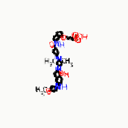 COc1ccc(Nc2ccc3c(O)c(N=Nc4cc(C)c(N=Nc5ccc(C(=O)Nc6ccc7cccc(OCCCCS(=O)(=O)O)c7c6)cc5)c(C)c4)ccc3c2)cc1